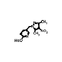 COc1ccc(Cn2nc(C)c([N+](=O)[O-])c2C)cn1